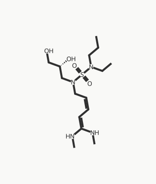 CCCN(CC)S(=O)(=O)N(C/C=C\C=C(NC)NC)C[C@@H](O)CO